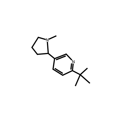 CN1CCCC1c1ccc(C(C)(C)C)nc1